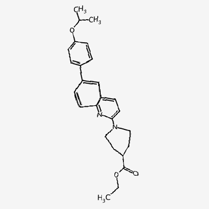 CCOC(=O)C1CCN(c2ccc3cc(-c4ccc(OC(C)C)cc4)ccc3n2)CC1